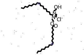 CCCCCCCC/C=C\CCCCCCCC(=O)OCC[n+]1ccn(CCO)c1CCCCCCC/C=C\CCCCCCCC.[Cl-]